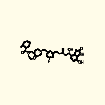 Cc1ccccc1C(=O)N1CCOC2(CCN(Cc3cc(F)cc(CCNC[C@H](O)c4ccc(O)c5[nH]c(=O)sc45)c3)CC2)C1